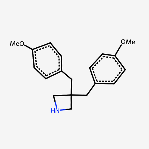 COc1ccc(CC2(Cc3ccc(OC)cc3)CNC2)cc1